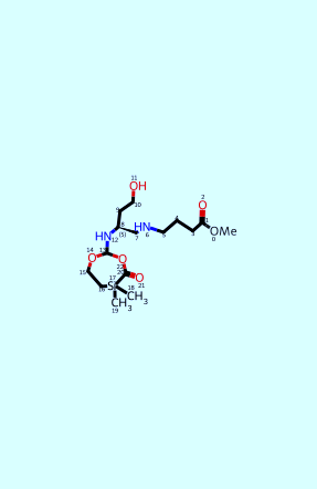 COC(=O)CCCNC[C@H](CCO)NC1OCC[Si](C)(C)C(=O)O1